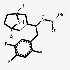 CC(C)(C)[S@+]([O-])N[C@@H](Cc1cc(F)c(F)cc1F)[C@@H]1C[C@H]2CC[C@@H](C1)N2